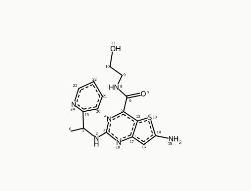 CC(Nc1nc(C(=O)NCCO)c2sc(N)cc2n1)c1ccccn1